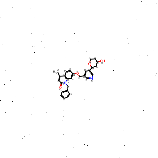 Cc1cc(=O)n(Cc2ccccc2)c2cc(OCc3cncc(C4CC(O)CCO4)c3)ccc12